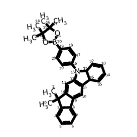 CC1(C)c2ccccc2-c2cc3c(cc21)N(c1ccc(B2OC(C)(C)C(C)(C)O2)cc1)C1C=CC=CC31